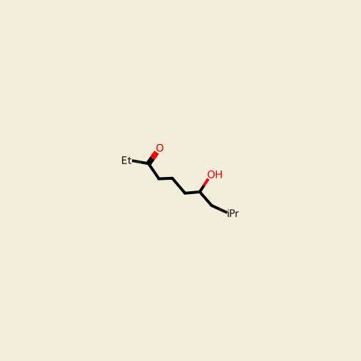 CCC(=O)CCCC(O)CC(C)C